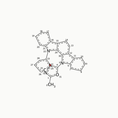 Cc1nnc(-n2c3ccccc3c3ccc4c5ccccc5n(-c5ccccc5)c4c32)o1